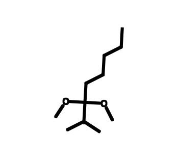 CCCCCC(OC)(OC)[C](C)C